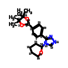 CC1(C)OB(c2ccc(-c3nncn3C3CCCCO3)cc2)OC1(C)C